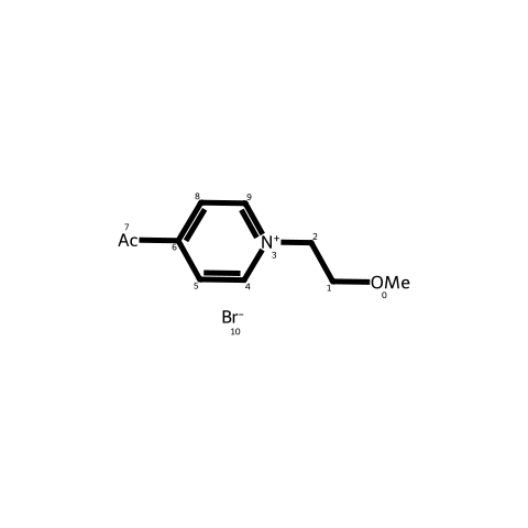 COCC[n+]1ccc(C(C)=O)cc1.[Br-]